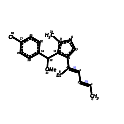 C/C=C/C=C(\CC)c1cnn(C)c1C(OC)c1ccc(Cl)cc1